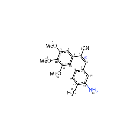 COc1cc(/C(C#N)=C\c2ccc(C)c(N)c2)cc(OC)c1OC